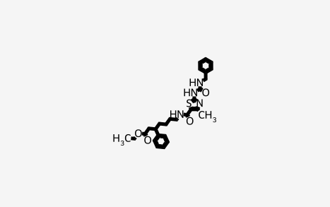 CCOC(=O)CC(CCCCNC(=O)c1sc(NC(=O)NCc2ccccc2)nc1C)c1ccccc1